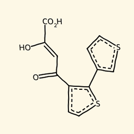 O=C(O)C(O)=CC(=O)c1ccsc1-c1ccsc1